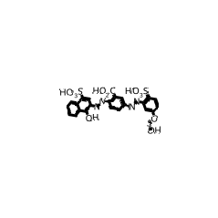 O=C(O)c1cc(/N=N/c2cc(OSO)ccc2S(=O)(=O)O)ccc1/N=N/c1cc(S(=O)(=O)O)c2ccccc2c1O